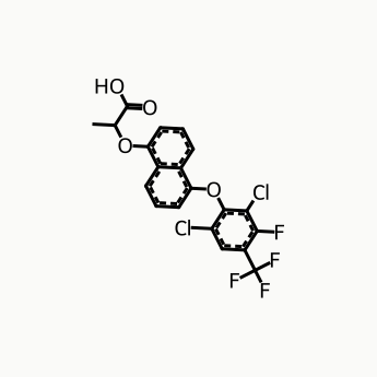 CC(Oc1cccc2c(Oc3c(Cl)cc(C(F)(F)F)c(F)c3Cl)cccc12)C(=O)O